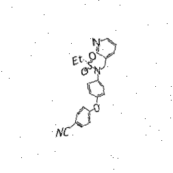 CCS(=O)(=O)N(Cc1cccnc1)c1ccc(Oc2ccc(C#N)cc2)cc1